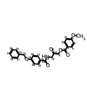 COc1ccc(C(=O)OCC(=O)CNC(=O)c2ccc(OCc3ccccc3)cc2)cc1